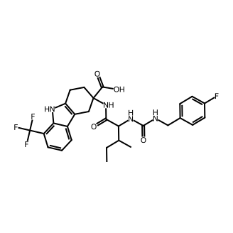 CCC(C)C(NC(=O)NCc1ccc(F)cc1)C(=O)NC1(C(=O)O)CCc2[nH]c3c(C(F)(F)F)cccc3c2C1